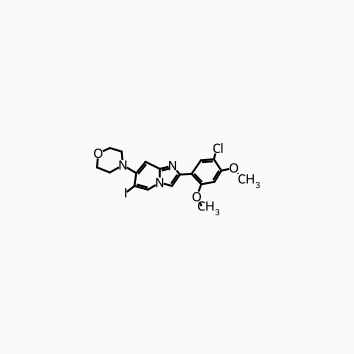 COc1cc(OC)c(-c2cn3cc(I)c(N4CCOCC4)cc3n2)cc1Cl